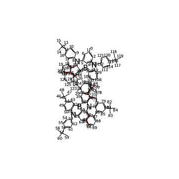 Cc1cc2c3c(c1)N(c1ccc(C(C)(C)C)cc1-c1cccc(C(C)(C)CCC4(C)CCC(C)(C)c5cc6c(cc54)B4c5cc(C(C)(C)C)ccc5N(c5ccc(C(C)(C)C)cc5)c5cc(C)cc(c54)N6c4c(-c5ccccc5)cc(C(C)(C)C)cc4-c4ccccc4)c1)c1cc4c(cc1B3c1cc(C(C)(C)C)ccc1N2c1ccc(C(C)(C)C)cc1)C(C)(C)CCC4(C)C